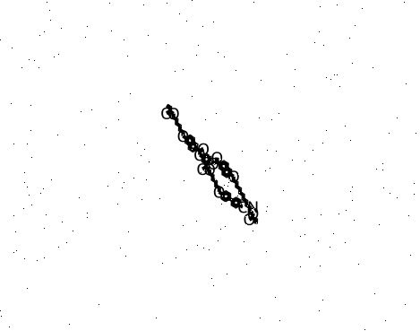 C=CC(=O)OCCCCCCCCCCCOc1ccc2cc(C(=O)Oc3ccc(OC(=O)c4ccc5cc(OCCCCCCOC(=O)C=C)ccc5c4)cc3C(=O)OCCCCCCOc3ccc(-c4ccc(C#N)cc4)cc3)ccc2c1